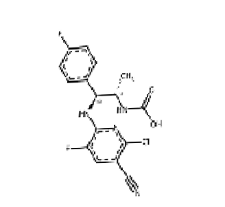 C[C@H](NC(=O)O)[C@@H](Nc1nc(Cl)c(C#N)cc1F)c1ccc(F)cc1